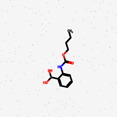 CCCCOC(=O)Nc1ccccc1B(O)O